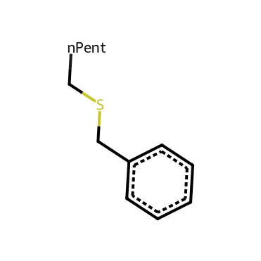 CCCCCCSCc1ccccc1